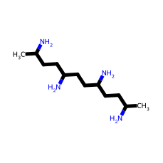 CC(N)CCC(N)CCC(N)CCC(C)N